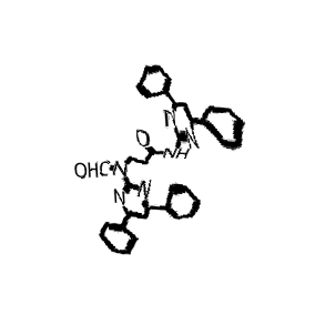 O=CN(CCC(=O)Nc1nc(-c2ccccc2)cc(-c2ccccc2)n1)c1nc(-c2ccccc2)cc(-c2ccccc2)n1